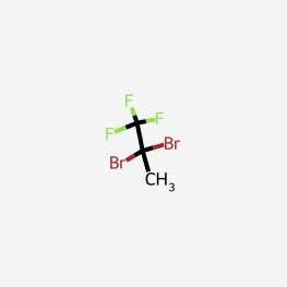 CC(Br)(Br)C(F)(F)F